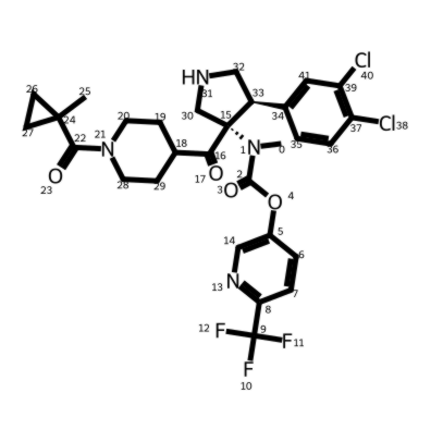 CN(C(=O)Oc1ccc(C(F)(F)F)nc1)[C@]1(C(=O)C2CCN(C(=O)C3(C)CC3)CC2)CNC[C@H]1c1ccc(Cl)c(Cl)c1